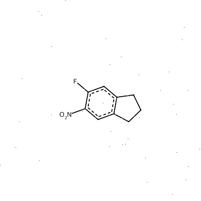 O=[N+]([O-])c1cc2c(cc1F)CCC2